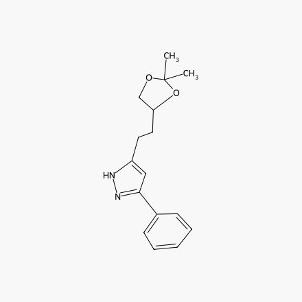 CC1(C)OCC(CCc2cc(-c3ccccc3)n[nH]2)O1